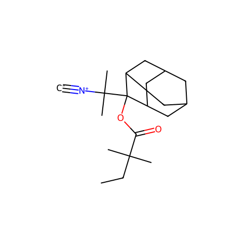 [C-]#[N+]C(C)(C)C1(OC(=O)C(C)(C)CC)C2CC3CC(C2)CC1C3